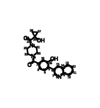 O=C(c1ccc(-c2cnc3ccccc3c2)c(O)c1)N1CCN(C(=O)C2(O)CC2)CC1